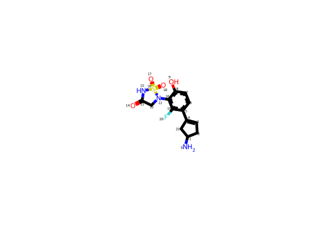 NC1CC=C(c2ccc(O)c(N3CC(=O)NS3(=O)=O)c2F)C1